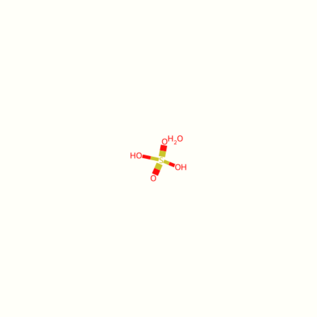 O.O=S(=O)(O)O